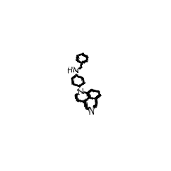 c1ccc(CN[C@H]2CC[C@@H](N3CCc4cncc5cccc3c45)CC2)cc1